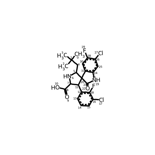 CC(C)(C)CC1NC(C(=O)O)C(c2cccc(Cl)c2F)C12C(=O)Nc1cc(Cl)c(F)cc12